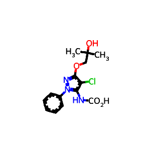 CC(C)(O)COc1nn(-c2ccccc2)c(NC(=O)O)c1Cl